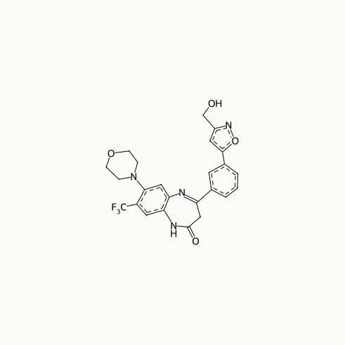 O=C1CC(c2cccc(-c3cc(CO)no3)c2)=Nc2cc(N3CCOCC3)c(C(F)(F)F)cc2N1